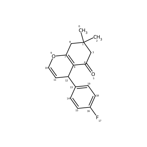 CC1(C)CC(=O)C2=C(C1)OC=CC2c1ccc(F)cc1